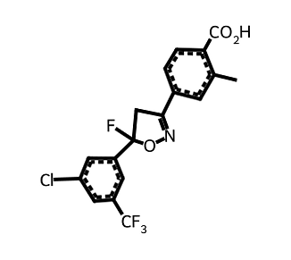 Cc1cc(C2=NOC(F)(c3cc(Cl)cc(C(F)(F)F)c3)C2)ccc1C(=O)O